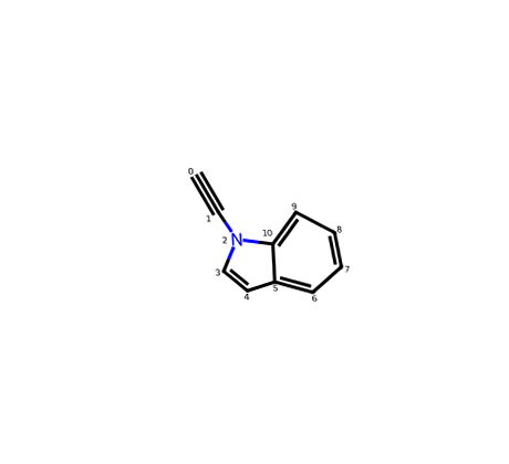 C#Cn1ccc2ccccc21